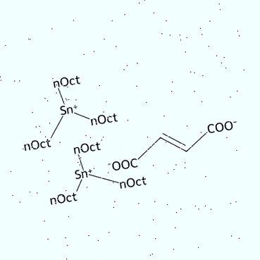 CCCCCCC[CH2][Sn+]([CH2]CCCCCCC)[CH2]CCCCCCC.CCCCCCC[CH2][Sn+]([CH2]CCCCCCC)[CH2]CCCCCCC.O=C([O-])C=CC(=O)[O-]